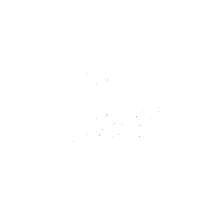 COC(=O)NC(C)(C)CCCNc1cc(-c2ccc3cc(C#N)cnn23)ncc1C(=O)NC[C@@H](F)C(C)(C)O